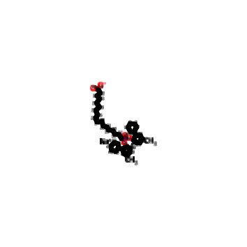 Cc1cc2c(c(C3CCCCC3)c1)OP(=O)(CCCCCCCC/C=C\CCCCCCCC(=O)[O-])Oc1c(cc(C)cc1C1CCCCC1)C2.[Na+]